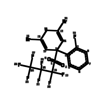 O=S(=O)(C1(c2ccccc2F)C=C(Br)[CH]C(Br)=C1)C(F)(F)C(F)(F)C(F)(F)F